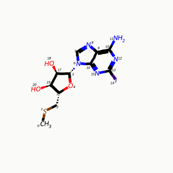 CSC[C@H]1O[C@@H](n2cnc3c(N)nc(I)nc32)[C@H](O)[C@@H]1O